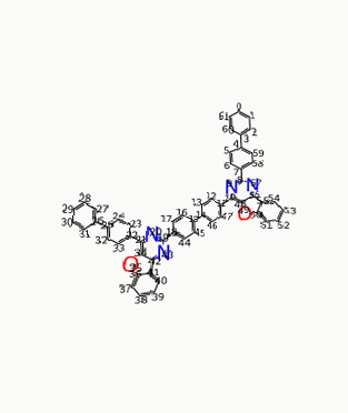 c1ccc(-c2ccc(-c3nc(-c4ccc(-c5ccc(-c6nc(-c7ccc(-c8ccccc8)cc7)c7oc8ccccc8c7n6)cc5)cc4)c4oc5ccccc5c4n3)cc2)cc1